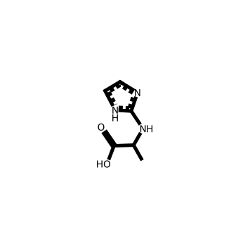 CC(Nc1ncc[nH]1)C(=O)O